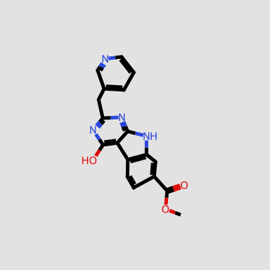 COC(=O)c1ccc2c(c1)[nH]c1nc(Cc3cccnc3)nc(O)c12